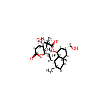 CCC(C)(C)C(=O)O[C@H]1C[C@H](CO)C[C@@H]2CC[C@H](C)[C@H](CC[C@@H]3C[C@@H](O)CC(=O)O3)[C@H]21